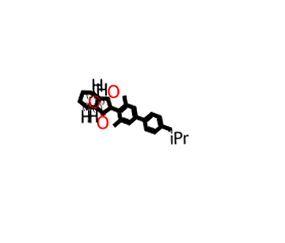 Cc1cc(-c2ccc(CC(C)C)cc2)cc(C)c1C1C(=O)[C@@H]2[C@H](C1=O)[C@H]1CC[C@@H]2O1